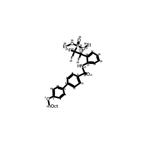 CCCCCCCCOc1ccc(-c2ccc(C(=O)Nc3ccccc3C(F)(F)C(F)(F)P(=O)(OCC)OCC)cc2)cc1